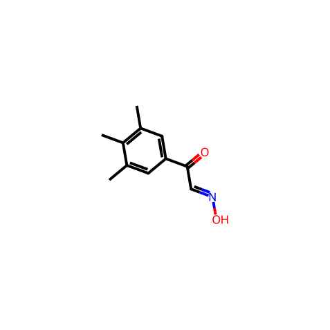 Cc1cc(C(=O)/C=N/O)cc(C)c1C